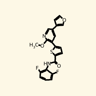 COc1ncc(-c2ccoc2)cc1-c1ccc(C(=O)Nc2c(F)cccc2F)s1